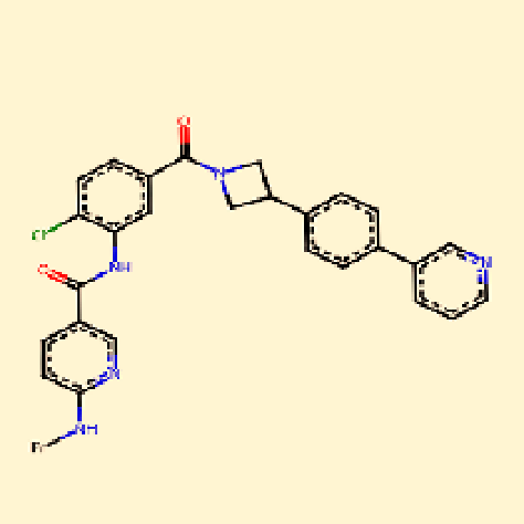 CC(C)Nc1ccc(C(=O)Nc2cc(C(=O)N3CC(c4ccc(-c5cccnc5)cc4)C3)ccc2Cl)cn1